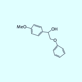 COc1ccc(C(O)COc2ccccc2)cc1